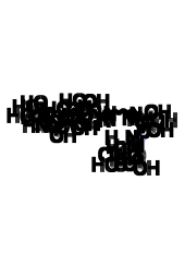 CC1OC(OC2C(CO)OC(OC3C(CO)OC(OCc4cn(CCCc5cn(C[C@H]6O[C@@H](OC/C(N)=C/N(N)C[C@@H]7C[C@H](O)C(O[C@@H]8C[C@@H](O)[C@@H](Cl)[C@@H](O)O8)O7)[C@@H](O)[C@@H](O)[C@@H]6O)nn5)nn4)C(O)C3O)C(O)C2O)[C@@H](O)C[C@@H]1N[C@H]1C=C(CO)[C@@H](O)[C@H](O)C1